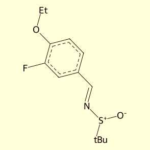 CCOc1ccc(C=N[S+]([O-])C(C)(C)C)cc1F